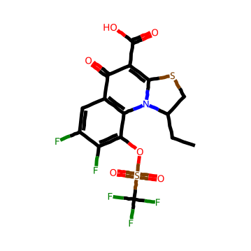 CCC1CSc2c(C(=O)O)c(=O)c3cc(F)c(F)c(OS(=O)(=O)C(F)(F)F)c3n21